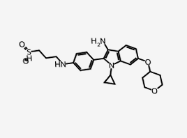 Nc1c(-c2ccc(NCCC[SH](=O)=O)cc2)n(C2CC2)c2cc(OC3CCOCC3)ccc12